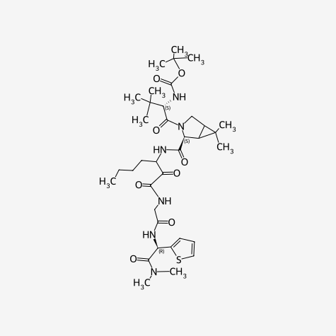 CCCCC(NC(=O)[C@@H]1C2C(CN1C(=O)[C@@H](NC(=O)OC(C)(C)C)C(C)(C)C)C2(C)C)C(=O)C(=O)NCC(=O)N[C@H](C(=O)N(C)C)c1cccs1